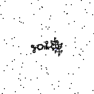 O=C(NC1=NC(C(F)(F)F)(C(F)(F)F)/C(=C(\F)C(F)(F)F)S1)c1ccc([N+](=O)[O-])cc1